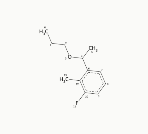 CCCOC(C)c1cccc(F)c1C